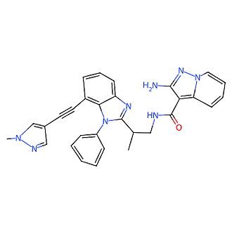 CC(CNC(=O)c1c(N)nn2ccccc12)c1nc2cccc(C#Cc3cnn(C)c3)c2n1-c1ccccc1